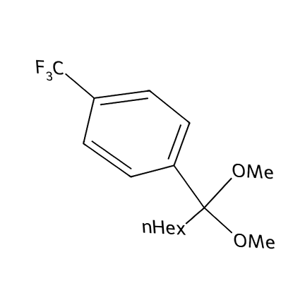 [CH2]CCCCCC(OC)(OC)c1ccc(C(F)(F)F)cc1